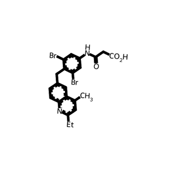 CCc1cc(C)c2cc(Cc3c(Br)cc(NC(=O)CC(=O)O)cc3Br)ccc2n1